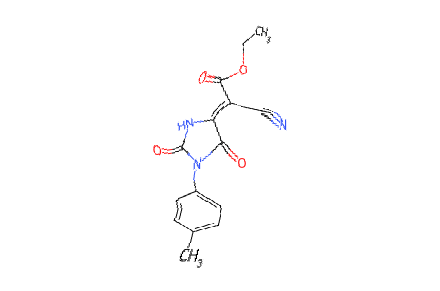 CCOC(=O)C(C#N)=C1NC(=O)N(c2ccc(C)cc2)C1=O